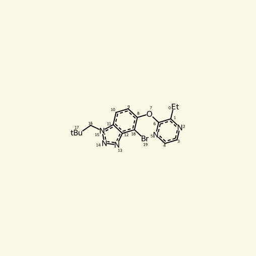 CCc1nccnc1Oc1ccc2c(nnn2CC(C)(C)C)c1Br